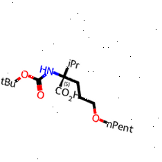 CCCCCOCCC[C@@](NC(=O)OC(C)(C)C)(C(=O)O)C(C)C